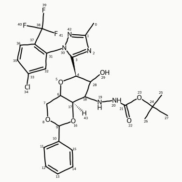 Cc1nc([C@@H]2OC3COC(c4ccccc4)O[C@@H]3C(NNC(=O)OC(C)(C)C)C2O)n(-c2cc(Cl)ccc2C(F)(F)F)n1